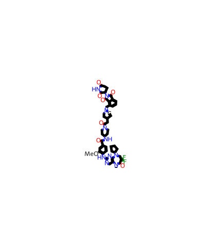 COc1cc(C(=O)NC2CCN(C(=O)CC3CCN(Cc4cccc5c4C(=O)N(C4CCC(=O)NC4=O)C5=O)CC3)CC2)ccc1Nc1ncc2c(n1)N(C1CCCC1)CC(F)(F)C(=O)N2C